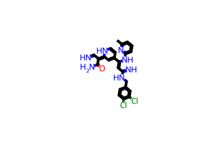 Cc1cccc(N/C(=C\C(=N)NCc2ccc(Cl)c(Cl)c2)C2=C/C(=C(/C=N)C(N)=O)NC=C2)n1